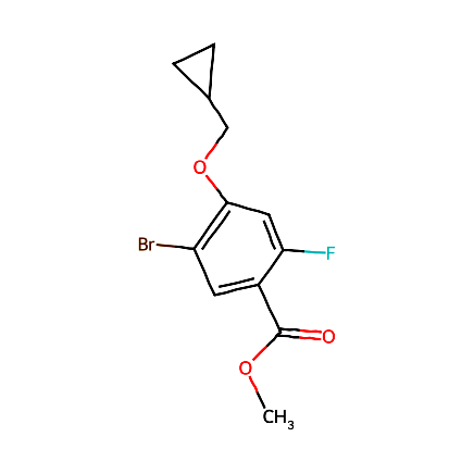 COC(=O)c1cc(Br)c(OCC2CC2)cc1F